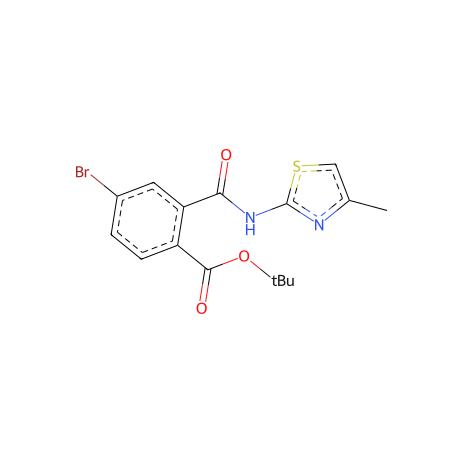 Cc1csc(NC(=O)c2cc(Br)ccc2C(=O)OC(C)(C)C)n1